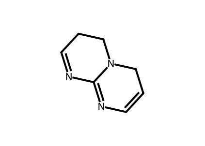 C1=CN=C2N=CCCN2C1